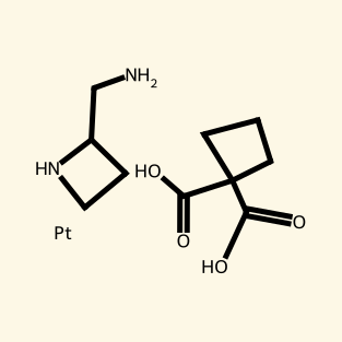 NCC1CCN1.O=C(O)C1(C(=O)O)CCC1.[Pt]